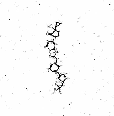 N#C[C@@]1(C2CC2)CCN(c2ccnc(NC(=O)Cc3cccc(-c4cnn(CC(F)(F)C(F)(F)F)c4)c3)c2)C1=O